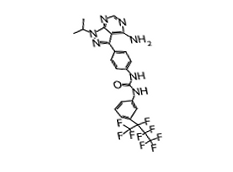 CC(C)n1nc(-c2ccc(NC(=O)Nc3cccc(C(F)(C(F)(F)F)C(F)(F)C(F)(F)F)c3)cc2)c2c(N)ncnc21